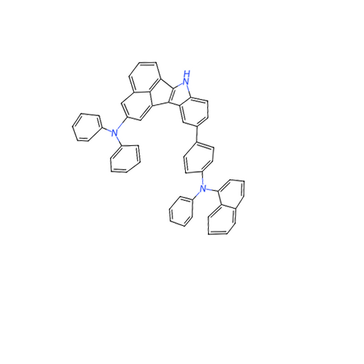 c1ccc(N(c2ccccc2)c2cc3c4c(cccc4c2)-c2[nH]c4ccc(-c5ccc(N(c6ccccc6)c6cccc7ccccc67)cc5)cc4c2-3)cc1